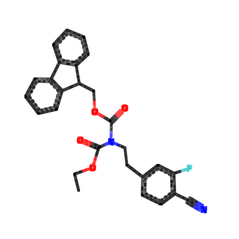 CCOC(=O)N(CCc1ccc(C#N)c(F)c1)C(=O)OCC1c2ccccc2-c2ccccc21